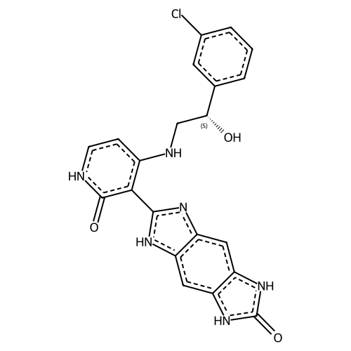 O=c1[nH]c2cc3nc(-c4c(NC[C@@H](O)c5cccc(Cl)c5)cc[nH]c4=O)[nH]c3cc2[nH]1